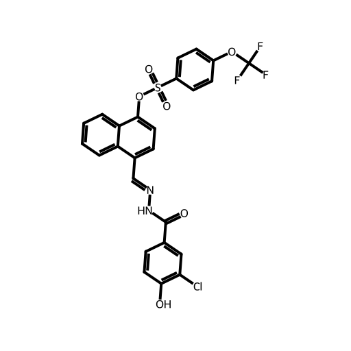 O=C(N/N=C/c1ccc(OS(=O)(=O)c2ccc(OC(F)(F)F)cc2)c2ccccc12)c1ccc(O)c(Cl)c1